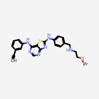 C#Cc1cccc(Nc2ncnc3nc(Nc4ccc(CNCCOC(C)C)cc4)sc23)c1